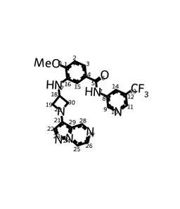 COc1ccc(C(=O)Nc2cncc(C(F)(F)F)c2)cc1NC1CN(c2cnn3ccncc23)C1